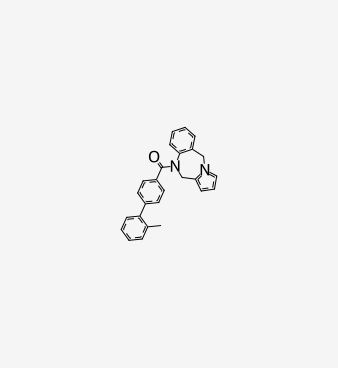 Cc1ccccc1-c1ccc(C(=O)N2Cc3cccn3Cc3ccccc32)cc1